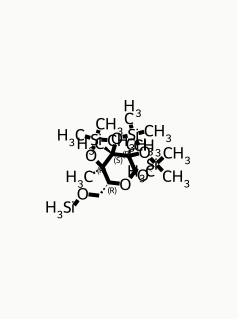 C[C@@]1(O[Si](C)(C)C)[C@@](C)(O[Si](C)(C)C)C(=O)O[C@H](CO[SiH3])[C@@]1(C)O[Si](C)(C)C